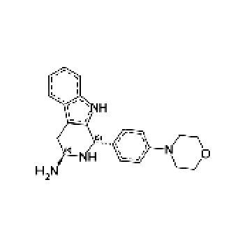 N[C@H]1Cc2c([nH]c3ccccc23)[C@H](c2ccc(N3CCOCC3)cc2)N1